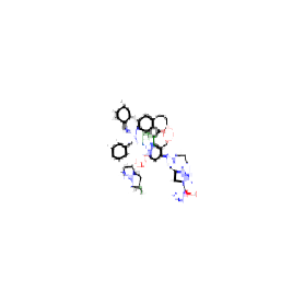 CN(C)C(=O)c1cc2n(n1)CCCN(c1cc(OC[C@@]34CCCN3C[C@H](F)C4)nc3c1CO[C@@]1(CCCc4ccc(N(Cc5ccccc5)Cc5ccccc5)c(Br)c41)C3)C2